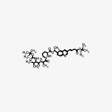 CC(NC(=O)C(NC(=O)OC(C)(C)C)C(C)C)C(=O)N1CCC[C@@H](C(=O)O[C@H](C)c2ccc3ncc(/C=C/CC(=O)OC(C)(C)C)cc3c2)N1